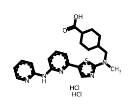 CN(CC1CCC(C(=O)O)CC1)c1ncc(-c2cccc(Nc3ccccn3)n2)s1.Cl.Cl